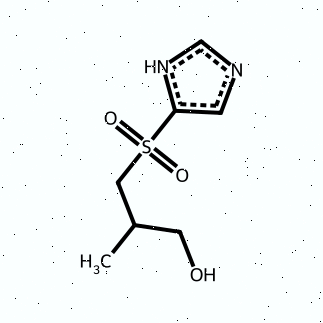 CC(CO)CS(=O)(=O)c1cnc[nH]1